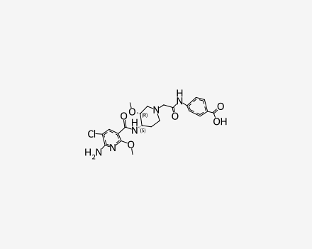 COc1nc(N)c(Cl)cc1C(=O)N[C@H]1CCN(CC(=O)Nc2ccc(C(=O)O)cc2)C[C@H]1OC